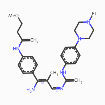 C=C(CCOC)Nc1ccc(/C(N)=C(C)/C=N\C(=C)Nc2ccc(N3CCN(CC)CC3)cc2)cc1